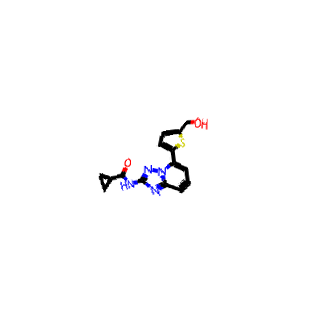 O=C(Nc1nc2cccc(-c3ccc(CO)s3)n2n1)C1CC1